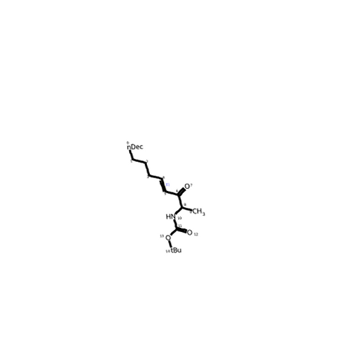 CCCCCCCCCCCCC/C=C/C(=O)C(C)NC(=O)OC(C)(C)C